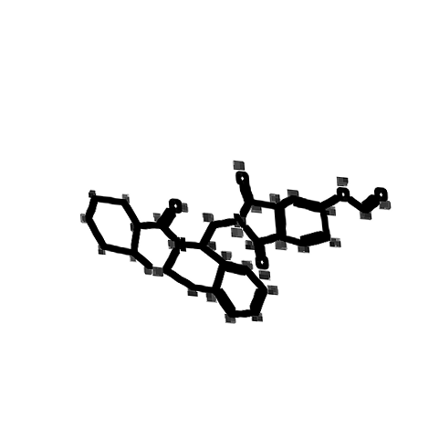 CC1CCCCC1C(=O)N1CCc2ccccc2C1CN1C(=O)c2ccc(OC=O)cc2C1=O